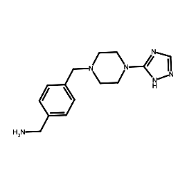 NCc1ccc(CN2CCN(c3ncn[nH]3)CC2)cc1